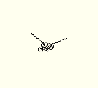 CCCCCCCCCCCC(=O)O[C@@H](C(=O)O)[C@@H](OC(=O)CCCCCCCCCCC)C(=O)OCCOC